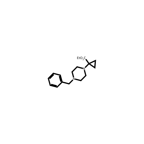 CCOC(=O)C1(N2CCN(Cc3ccccc3)CC2)CC1